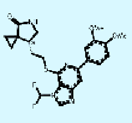 COc1ccc(-c2cc3ncn(C(F)F)c3c(OCC[C@H]3CNC(=O)C34CC4)n2)cc1OC